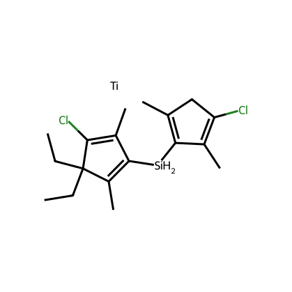 CCC1(CC)C(C)=C([SiH2]C2=C(C)CC(Cl)=C2C)C(C)=C1Cl.[Ti]